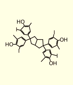 Cc1cc(C2(c3cc(C)c(O)c(I)c3)CC3CC(c4cc(C)c(O)c(I)c4)(c4cc(C)c(O)c(I)c4)CC3C2)cc(I)c1O